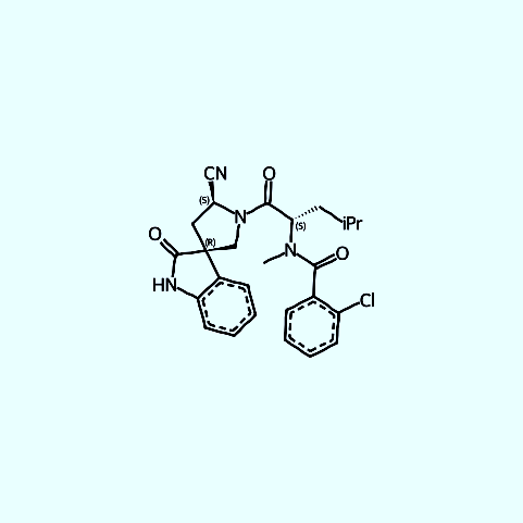 CC(C)C[C@@H](C(=O)N1C[C@]2(C[C@H]1C#N)C(=O)Nc1ccccc12)N(C)C(=O)c1ccccc1Cl